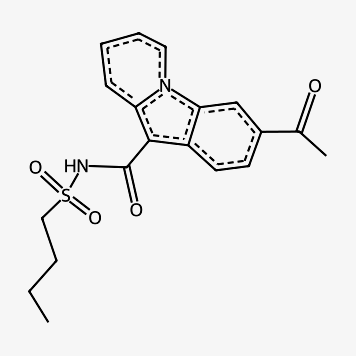 CCCCS(=O)(=O)NC(=O)c1c2ccc(C(C)=O)cc2n2ccccc12